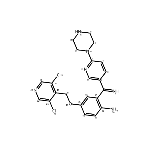 N=C(c1ccc(N2CCNCC2)nc1)c1cc(OCc2c(Cl)cncc2Cl)ccc1N